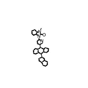 Cn1c(=O)n(-c2ccc(-c3c4ccccc4c(-c4ccc5ccccc5c4)c4ccccc34)cn2)c2ccccc21